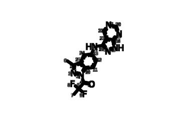 Cc1nn(C(=O)C(C)(F)F)c2ccc(Nc3n[nH]c4ncncc34)cc12